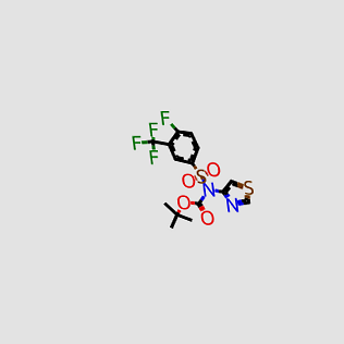 CC(C)(C)OC(=O)N(c1cscn1)S(=O)(=O)c1ccc(F)c(C(F)(F)F)c1